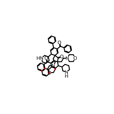 O=C(C1=CC(CCN2CCOCC2)(C(=O)C2(CCN3CCOCC3)C=C(C(=O)c3ccccc3)C(c3ccccc3)=CC2C2CCCNC2)C(C2CCCNC2)C=C1c1ccccc1)c1ccccc1